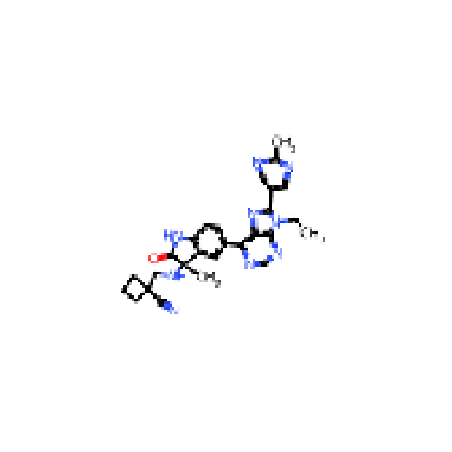 CCn1c(-c2cnc(C)nc2)nc2c(-c3ccc4c(c3)C(C)(NCC3(C#N)CCC3)C(=O)N4)ncnc21